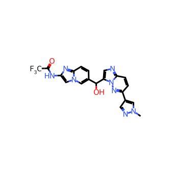 Cn1cc(-c2ccc3ncc(C(O)c4ccc5nc(NC(=O)C(F)(F)F)cn5c4)n3n2)cn1